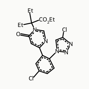 CCOC(=O)C(CC)(CC)n1cnc(-c2cc(Cl)ccc2-n2cc(Cl)nn2)cc1=O